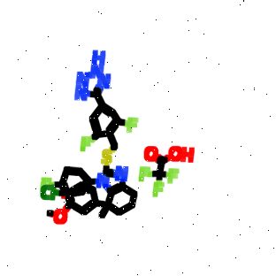 COc1cc(C2(C)CCCc3nc(SCc4c(F)cc(-c5nn[nH]n5)cc4F)n(-c4ccc(F)cc4)c32)ccc1Cl.O=C(O)C(F)(F)F